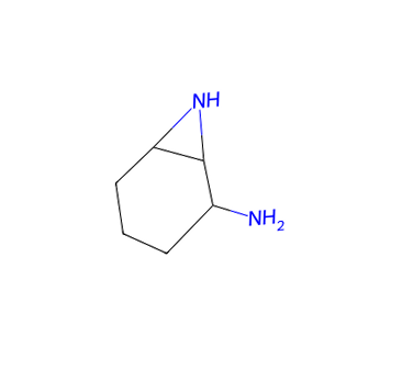 NC1CCCC2NC12